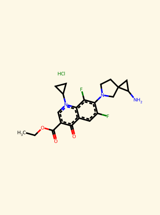 CCOC(=O)c1cn(C2CC2)c2c(F)c(N3CCC4(CC4N)C3)c(F)cc2c1=O.Cl